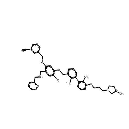 Cc1c(COc2cc(OCc3cncc(C#N)c3)c(CNCc3cccnn3)cc2Cl)cccc1-c1cccc(OCCCN2CC[C@@H](O)C2)c1C